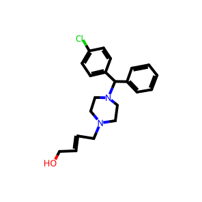 OC/C=C/CN1CCN(C(c2ccccc2)c2ccc(Cl)cc2)CC1